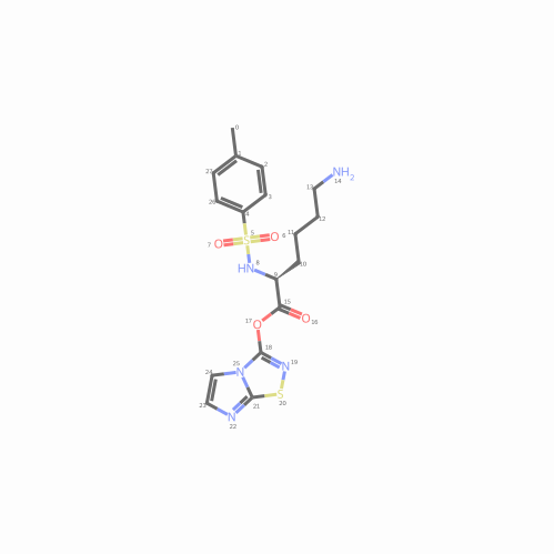 Cc1ccc(S(=O)(=O)N[C@@H](CCCCN)C(=O)Oc2nsc3nccn23)cc1